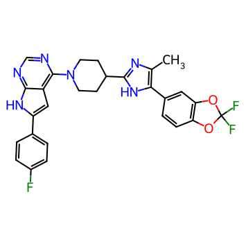 Cc1nc(C2CCN(c3ncnc4[nH]c(-c5ccc(F)cc5)cc34)CC2)[nH]c1-c1ccc2c(c1)OC(F)(F)O2